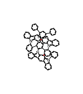 c1ccc(-c2cc(-c3ccccc3)nc(-c3cc(-c4ccccc4-n4c5ccccc5c5ccccc54)c(-n4c5ccccc5c5cc6c7ccccc7n(-c7ccccc7)c6cc54)c(-c4ccccc4-n4c5ccccc5c5ccccc54)c3)n2)cc1